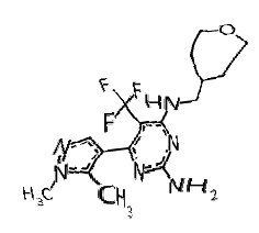 Cc1c(-c2nc(N)nc(NCC3CCOCC3)c2C(F)(F)F)cnn1C